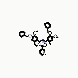 COc1cc(C)c(/C=C/C2c3cc(OC)c(OCc4ccccc4)cc3CCN2C(=O)c2cccnc2)cc1OCc1ccccc1